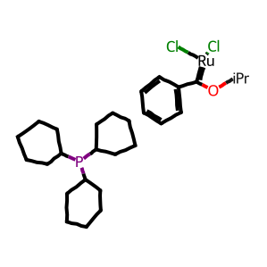 C1CCC(P(C2CCCCC2)C2CCCCC2)CC1.CC(C)O[C](c1ccccc1)=[Ru]([Cl])[Cl]